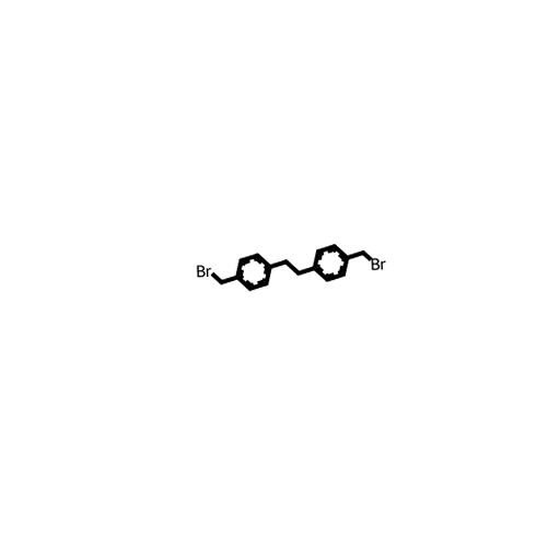 BrCc1ccc(CCc2ccc(CBr)cc2)cc1